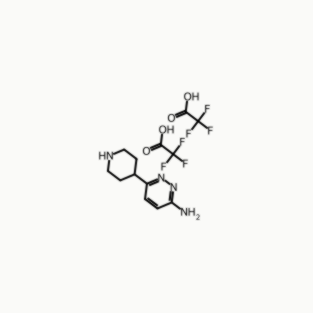 Nc1ccc(C2CCNCC2)nn1.O=C(O)C(F)(F)F.O=C(O)C(F)(F)F